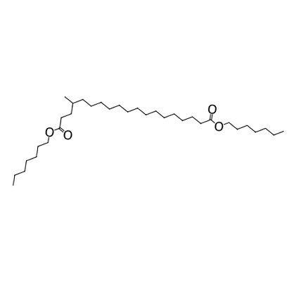 CCCCCCCOC(=O)CCCCCCCCCCCCCCC(C)CCC(=O)OCCCCCCC